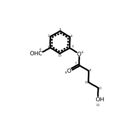 O=Cc1cccc(OC(=O)CCCO)c1